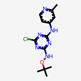 Cc1cc(Nc2nc(Cl)nc(NOC(C)(C)C)n2)ccn1